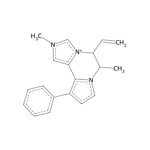 C=CC1C(C)n2ccc(-c3ccccc3)c2-c2cn(C)c[n+]21